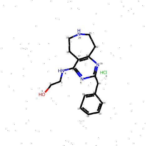 Cl.OCCNc1nc(Cc2ccccc2)nc2c1CCNCC2